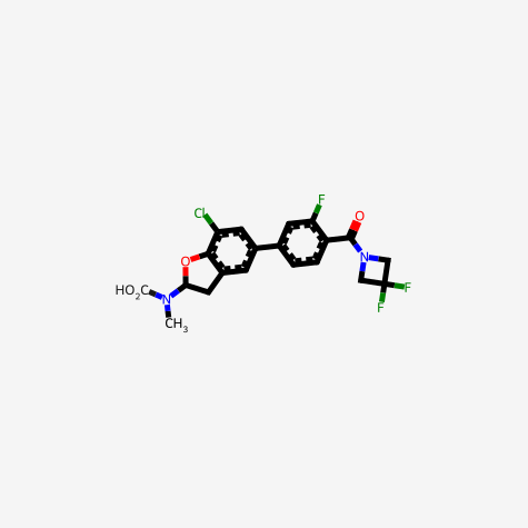 CN(C(=O)O)C1Cc2cc(-c3ccc(C(=O)N4CC(F)(F)C4)c(F)c3)cc(Cl)c2O1